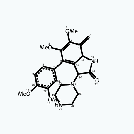 C=C1C(OC)=C(OC)C(c2ccc(OC)c(OC)c2)=C2C1NC(=O)C2N1CCNCC1